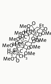 CCC(C)(CC(C)(CC(C)(CC(C)(CC(C)(CC(C)(CC(C)(CC(C)(CC(C)(C)C(=O)OC)C(=O)OC)C(=O)OC)C(=O)OC)C(=O)OC)C(=O)OC)C(=O)OC)C(=O)OC)C(=O)OC